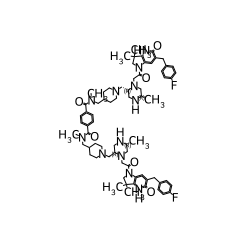 C[C@@H]1CN(CC(=O)N2CC(C)(C)c3[nH]c(=O)c(Cc4ccc(F)cc4)cc32)[C@@H](CN2CCC(CN(C)C(=O)c3ccc(C(=O)N(C)CC4CCN(C[C@H]5CN[C@H](C)CN5CC(=O)N5CC(C)(C)c6[nH]c(=O)c(Cc7ccc(F)cc7)cc65)CC4)cc3)CC2)CN1